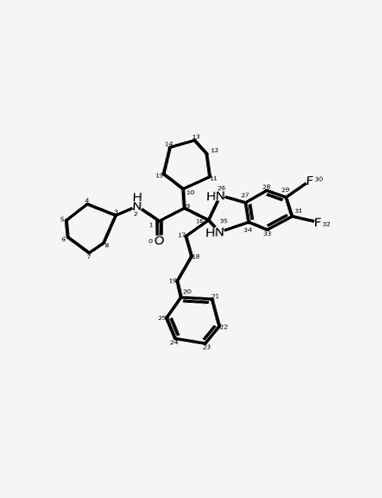 O=C(NC1CCCCC1)C(C1CCCCC1)C1(CCCc2ccccc2)Nc2cc(F)c(F)cc2N1